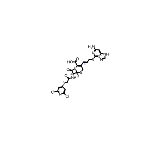 Nc1cc2[nH]cn[n+]2c(SC/C=C/C2=C(C(=O)O)N3C(=O)[C@@H](NC(=O)CSc4cc(Cl)nc(Cl)c4)[C@H]3SC2)n1